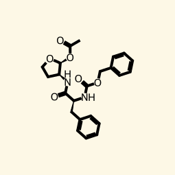 CC(=O)O[C@@H]1OCC[C@@H]1NC(=O)[C@H](Cc1ccccc1)NC(=O)OCc1ccccc1